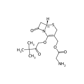 CC(C)(C)C(=O)COC1=C(COC(=O)CN)CS[C@H]2CC(=O)N12